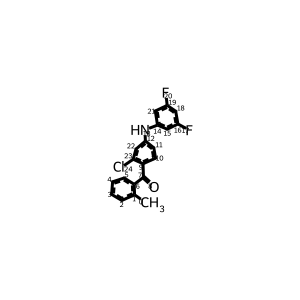 Cc1ccccc1C(=O)c1ccc(Nc2cc(F)cc(F)c2)cc1Cl